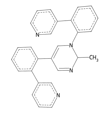 CC1N=CC(c2ccccc2-c2cccnc2)=CN1c1ccccc1-c1cccnc1